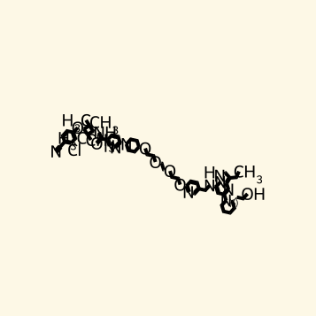 CCc1cnn2c(NCc3ccc(OCCOCCOCCOC4CCN(c5ccc(C(=O)NC6C(C)(C)C(Oc7ccc(C#N)c(Cl)c7)C6(C)C)nn5)CC4)nc3)cc(N3CCCC[C@H]3CCO)nc12